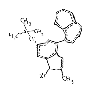 CC1=Cc2c(-c3cccc4ccccc34)cccc2[CH]1[Zr].C[Si](C)(C)C